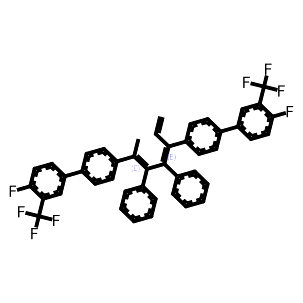 C=C/C(=C(\C(=C(/C)c1ccc(-c2ccc(F)c(C(F)(F)F)c2)cc1)c1ccccc1)c1ccccc1)c1ccc(-c2ccc(F)c(C(F)(F)F)c2)cc1